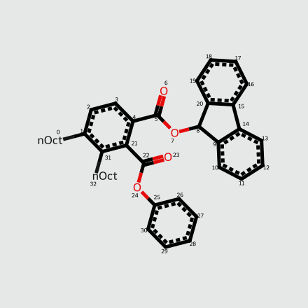 CCCCCCCCc1ccc(C(=O)OC2c3ccccc3-c3ccccc32)c(C(=O)Oc2ccccc2)c1CCCCCCCC